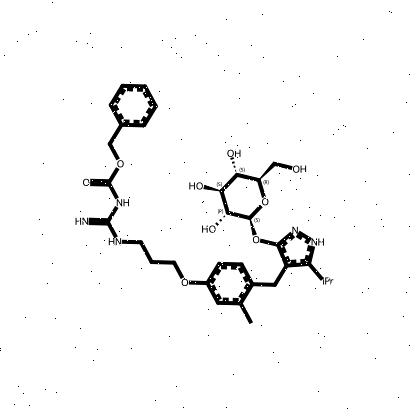 Cc1cc(OCCCNC(=N)NC(=O)OCc2ccccc2)ccc1Cc1c(O[C@@H]2O[C@H](CO)[C@@H](O)[C@H](O)[C@H]2O)n[nH]c1C(C)C